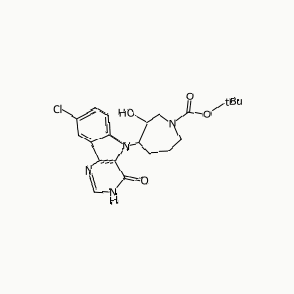 CC(C)(C)OC(=O)N1CCCC(n2c3ccc(Cl)cc3c3nc[nH]c(=O)c32)C(O)C1